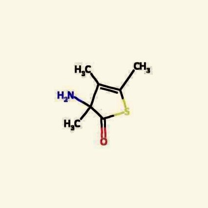 CC1=C(C)C(C)(N)C(=O)S1